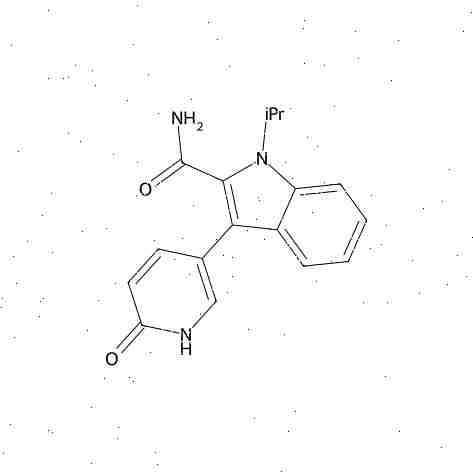 CC(C)n1c(C(N)=O)c(-c2ccc(=O)[nH]c2)c2ccccc21